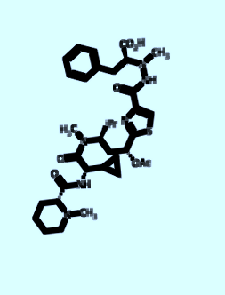 CC(=O)O[C@H](C[C@H](C(C)C)N(C)C(=O)[C@@H](NC(=O)[C@H]1CCCCN1C)C1CC1)c1nc(C(=O)NN(C)[C@@H](Cc2ccccc2)C(=O)O)cs1